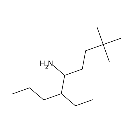 CCCC(CC)C(N)CCC(C)(C)C